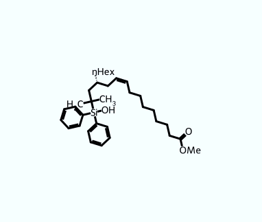 CCCCCC[C@H](C/C=C\CCCCCCCC(=O)OC)CC(C)(C)[Si](O)(c1ccccc1)c1ccccc1